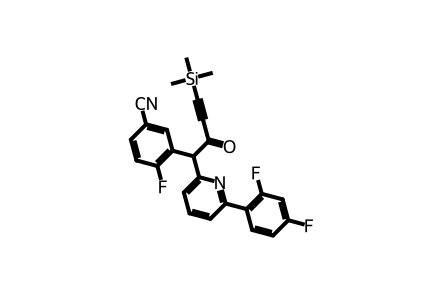 C[Si](C)(C)C#CC(=O)C(c1cccc(-c2ccc(F)cc2F)n1)c1cc(C#N)ccc1F